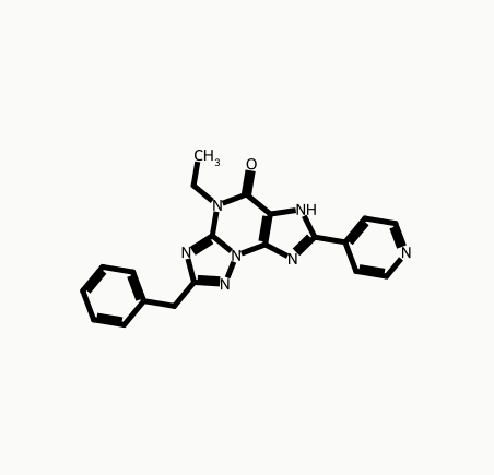 CCn1c(=O)c2[nH]c(-c3ccncc3)nc2n2nc(Cc3ccccc3)nc12